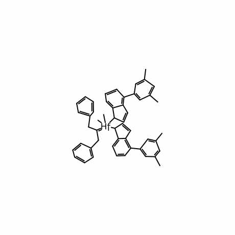 Cc1cc(C)cc(-c2cccc3c2C=C[CH]3[Hf]([CH3])([CH3])(=[C](Cc2ccccc2)Cc2ccccc2)[CH]2C=Cc3c(-c4cc(C)cc(C)c4)cccc32)c1